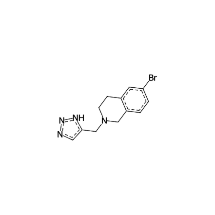 Brc1ccc2c(c1)CCN(Cc1cnn[nH]1)C2